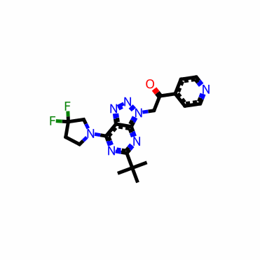 CC(C)(C)c1nc(N2CCC(F)(F)C2)c2nnn(CC(=O)c3ccncc3)c2n1